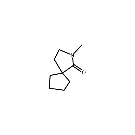 CN1CCC2(CCCC2)C1=O